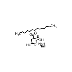 CCCCCCCC(CCCCCC)OC(=O)C(CC(=O)O)S(=O)(=O)O.[NaH].[NaH]